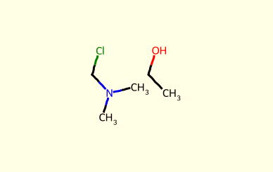 CCO.CN(C)CCl